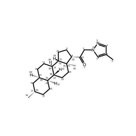 Cc1cnn(CC(=O)[C@H]2CC[C@H]3[C@@H]4CC[C@@H]5C[C@@H](C)CC[C@@H]5[C@H]4CC[C@]23C)c1